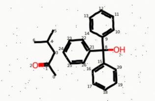 CC(=O)CC(C)C.OC(c1ccccc1)(c1ccccc1)c1ccccc1